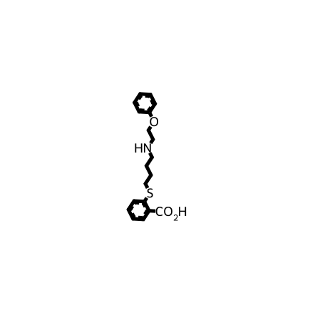 O=C(O)c1ccccc1SCCCCNCCOc1ccccc1